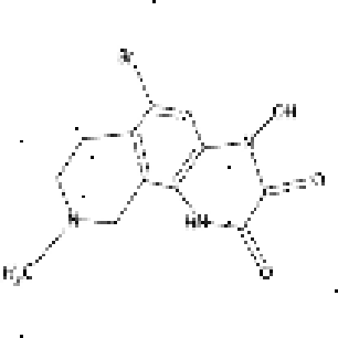 CN1CCc2c(Br)cc3c([nH]c(=O)c(=O)n3O)c2C1